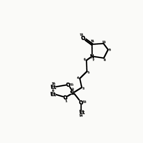 CCO[Si](CCCCN1CCCC1=O)(OCC)OCC